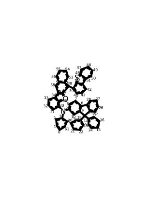 c1ccc(N(c2ccc3c(c2)C(c2ccccc2)(c2ccccc2)c2ccccc2-3)c2cccc3c2oc2c(-c4cccc5c4sc4ccccc45)c4ccccc4cc23)cc1